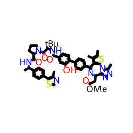 COC(=O)CC1N=C(c2ccc(-c3ccc(C(=O)NC(C(=O)N4CCCC4C(=O)NC(C)c4ccc(-c5scnc5C)cc4)C(C)(C)C)cc3O)cc2)c2c(sc(C)c2C)-n2c(C)nnc21